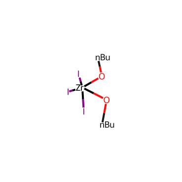 CCCC[O][Zr]([I])([I])([I])[O]CCCC